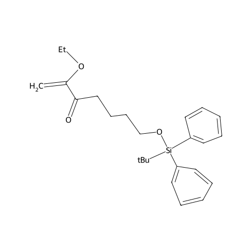 C=C(OCC)C(=O)CCCCO[Si](c1ccccc1)(c1ccccc1)C(C)(C)C